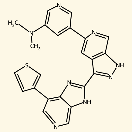 CN(C)c1cncc(-c2cc3c(-c4nc5c(-c6ccsc6)cncc5[nH]4)n[nH]c3cn2)c1